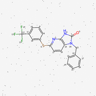 O=c1[nH]c2nc(Sc3cccc(C(F)(F)F)c3)ccc2n1Cc1ccccc1